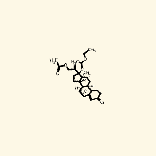 CCOC(C)O[C@]1(C(=O)COC(C)=O)CC[C@H]2[C@@H]3CCC4=CC(=O)CC[C@]4(C)[C@H]3CC[C@@]21C